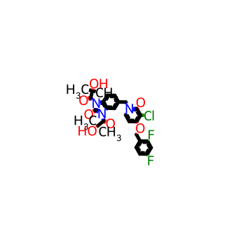 CC(C)(O)C(=O)n1c(=O)n(C(=O)C(C)(C)O)c2cc(Cn3ccc(OCc4ccc(F)cc4F)c(Cl)c3=O)ccc21